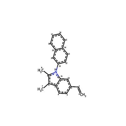 C=Cc1ccc2c(C)c(C)n(-c3ccc4ccccc4c3)c2c1